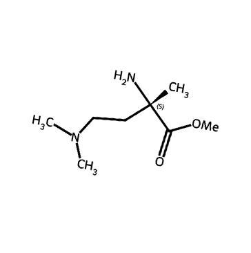 COC(=O)[C@@](C)(N)CCN(C)C